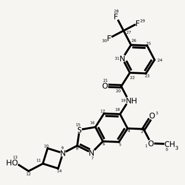 COC(=O)c1cc2nc(N3CC(CO)C3)sc2cc1NC(=O)c1cccc(C(F)(F)F)n1